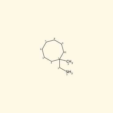 CC1(C[SiH3])CCCCCCC1